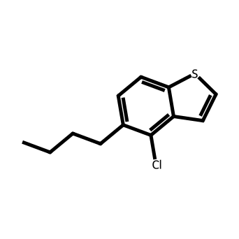 CCCCc1ccc2sccc2c1Cl